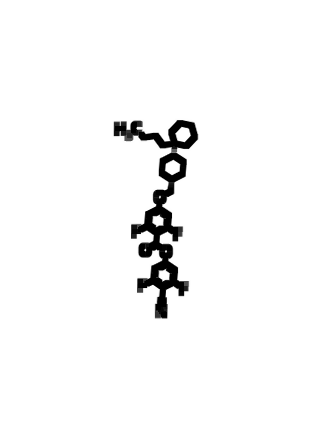 CCCCC1([C@H]2CC[C@H](COc3cc(F)c(C(=O)Oc4cc(F)c(C#N)c(F)c4)c(F)c3)CC2)CCCCC1